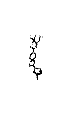 Cc1cnn(C2COC3(CCN(C(=O)O[C@H](CO)C(F)(F)F)CC3)C2)c1